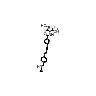 C[C@@H](O)[C@H](NC(=O)c1ccc(C#CC=Cc2ccc(CNC3CC3)cc2)cc1)C(=O)NO